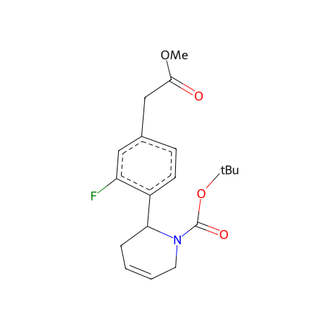 COC(=O)Cc1ccc(C2CC=CCN2C(=O)OC(C)(C)C)c(F)c1